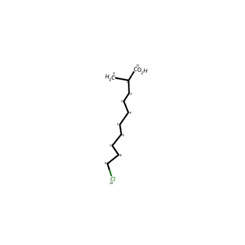 CC(CCCCCCCCCl)C(=O)O